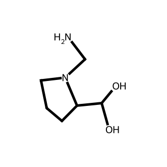 NCN1CCCC1C(O)O